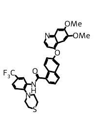 COc1cc2nccc(Oc3ccc4c(C(=O)Nc5cc(C(F)(F)F)ccc5N5CCSCC5)cccc4c3)c2cc1OC